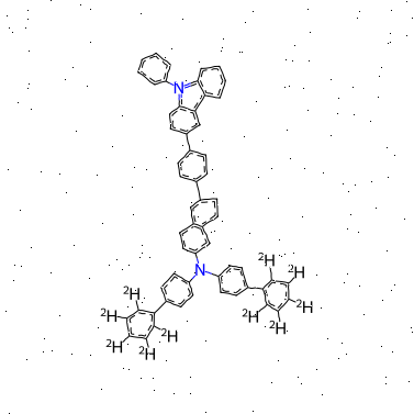 [2H]c1c([2H])c([2H])c(-c2ccc(N(c3ccc(-c4c([2H])c([2H])c([2H])c([2H])c4[2H])cc3)c3ccc4cc(-c5ccc(-c6ccc7c(c6)c6ccccc6n7-c6ccccc6)cc5)ccc4c3)cc2)c([2H])c1[2H]